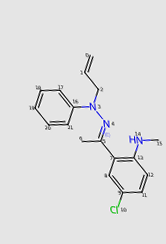 C=CCN(/N=C(\C)c1cc(Cl)ccc1NC)c1ccccc1